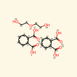 O=C(O)c1ccccc1C(=O)O.O=C(O)c1ccccc1C(=O)O.OCCOCCO